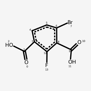 O=C(O)c1ccc(Br)c(C(=O)O)c1F